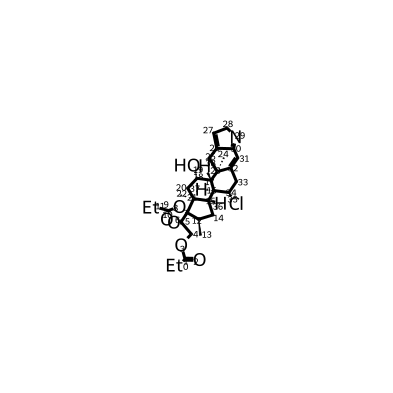 CCC(=O)OCC(=O)[C@@]1(OC(=O)CC)[C@H](C)C[C@H]2[C@H]3[C@H]([C@@H](O)C[C@@]21C)[C@@]1(C)CC2=CCN=C2C=C1C[C@H]3Cl